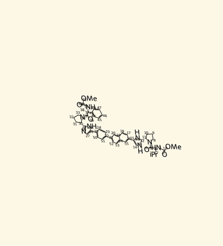 COC(=O)N[C@H](C(=O)N1CCC[C@H]1C1NC=C(c2ccc3cc(-c4ccc(-c5cnc([C@@H]6CCCN6C(=O)[C@@](C)(NC(=O)OC)c6ccccc6)[nH]5)cc4)ccc3c2)N1)C(C)C